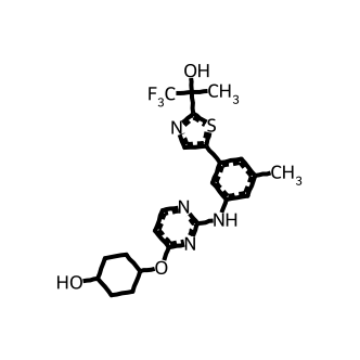 Cc1cc(Nc2nccc(OC3CCC(O)CC3)n2)cc(-c2cnc(C(C)(O)C(F)(F)F)s2)c1